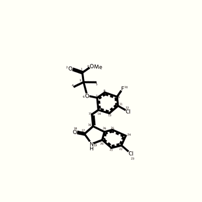 COC(=O)C(C)(C)Oc1cc(F)c(Cl)cc1/C=C1/C(=O)Nc2cc(Cl)ccc21